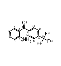 Nc1ccccc1C(=O)c1ccc(C(F)(F)F)cc1